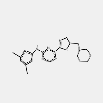 Cc1cc(C)cc(Nc2nccc(C3=NCC(CN4CCCCC4)S3)n2)c1